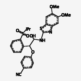 COc1cc2nc(NC(O)C(Oc3ccc(C#N)cc3)c3ccccc3S(=O)(=O)C(C)C)sc2cc1OC